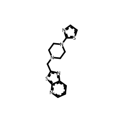 c1cnc2sc(CN3CCN(c4nccs4)CC3)nc2c1